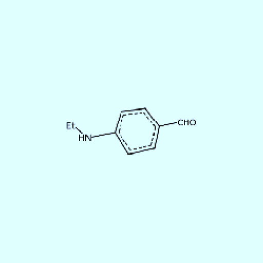 CCNc1ccc(C=O)cc1